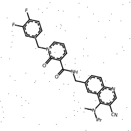 CC(C)N(C)c1c(C#N)cnc2ccc(CNC(=O)c3cccn(Cc4ccc(F)c(F)c4)c3=O)cc12